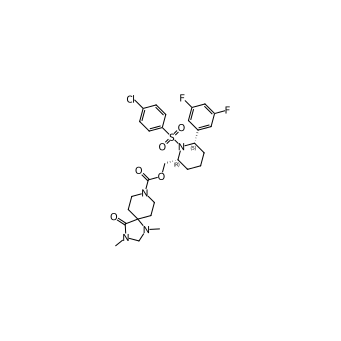 CN1CN(C)C2(CCN(C(=O)OC[C@H]3CCC[C@@H](c4cc(F)cc(F)c4)N3S(=O)(=O)c3ccc(Cl)cc3)CC2)C1=O